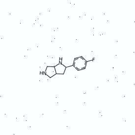 Fc1ccc(C2CC3CNCC3N2)cc1